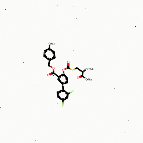 COC(=O)C(CSC(=O)Oc1ccc(-c2ccc(F)cc2F)cc1C(=O)OCc1ccc(OC)cc1)NC(C)=O